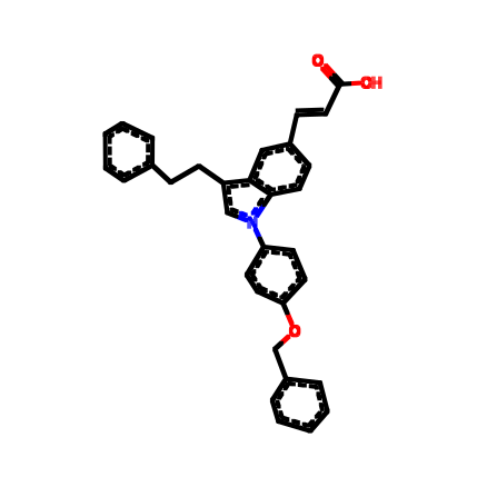 O=C(O)C=Cc1ccc2c(c1)c(CCc1ccccc1)cn2-c1ccc(OCc2ccccc2)cc1